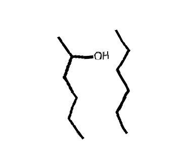 CCCCC(C)O.CCCCCC